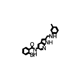 Cc1cccc(NCc2cc3cc(NC(=O)c4ccccc4Br)cnc3[nH]2)c1